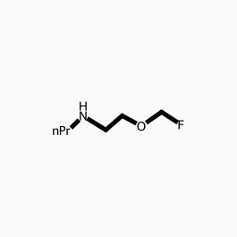 CCCNCCOCF